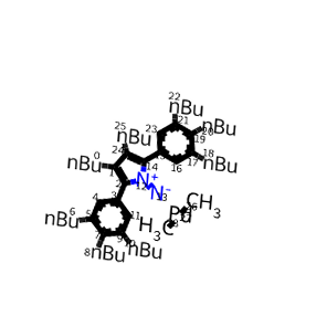 CCCCC1=C(c2cc(CCCC)c(CCCC)c(CCCC)c2)[N+](=[N-])C(c2cc(CCCC)c(CCCC)c(CCCC)c2)=C1CCCC.[CH3][Pd][CH3]